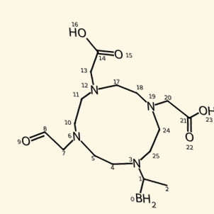 BC(C)N1CCN(CC=O)CCN(CC(=O)O)CCN(CC(=O)O)CC1